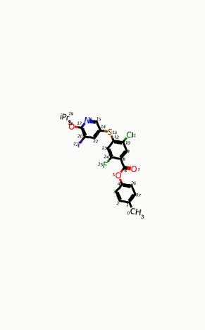 Cc1ccc(OC(=O)c2cc(Cl)c(Sc3cnc(OC(C)C)c(I)c3)cc2F)cc1